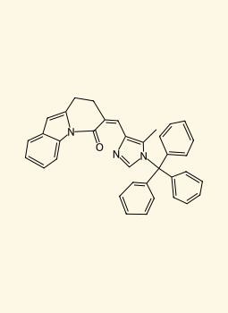 Cc1c(C=C2CCc3cc4ccccc4n3C2=O)ncn1C(c1ccccc1)(c1ccccc1)c1ccccc1